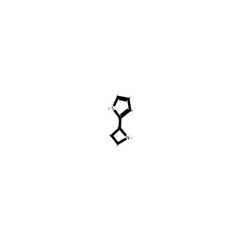 c1csc(C2CC[N]2)c1